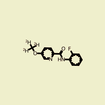 [2H]C([2H])([2H])Oc1ccc(C(=O)Nc2ccccc2F)nc1